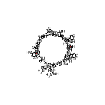 CCCC[C@H]1C(=O)N(C)[C@@H](CCCC)C(=O)N[C@@H](CCCNC(=N)N)C(=O)N[C@H](C(=O)NCC(N)=O)CSCC(=O)N[C@@H](Cc2ccc(O)cc2)C(=O)N(C)[C@@H]2OC(=O)C[C@H](NC2=O)C(=O)N2CCC[C@H]2C(=O)N[C@@H](Cc2cnc[nH]2)C(=O)N[C@@H](CC(C)C)C(=O)N2C[C@H](O)C[C@H]2C(=O)N[C@@H](Cc2c[nH]c3ccccc23)C(=O)N[C@@H](CO)C(=O)N[C@@H](Cc2c[nH]c3ccccc23)C(=O)N1C